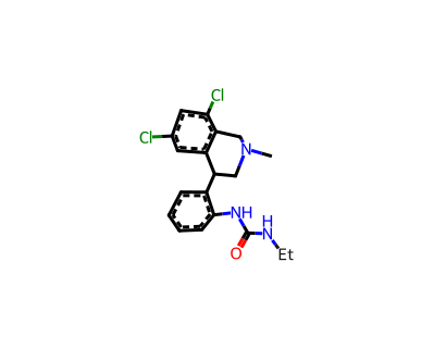 CCNC(=O)Nc1ccccc1C1CN(C)Cc2c(Cl)cc(Cl)cc21